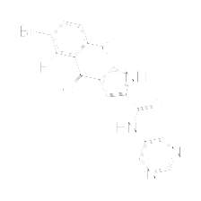 O=C(Nc1cncnc1)c1cc(C(=O)c2c(Cl)ccc(Br)c2F)c[nH]1